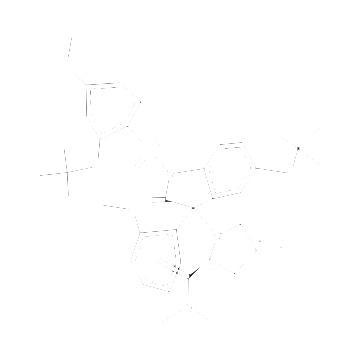 COc1ccc(S(=O)(=O)N2C(=O)C(c3ccccc3OC)(N3C[C@H](F)C[C@H]3C(=O)N(C)C)c3cc(OC(F)(F)F)ccc32)c(OC(F)(F)F)c1